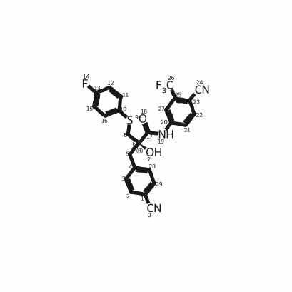 N#Cc1ccc(C[C@](O)(CSc2ccc(F)cc2)C(=O)Nc2ccc(C#N)c(C(F)(F)F)c2)cc1